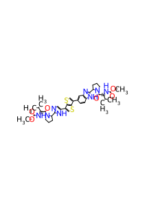 COC(=O)N[C@H](C(=O)N1CCCC1c1ncc(-c2csc3c(-c4ccc5[nH]c(C6CCCN6C(=O)[C@@H](NC(=O)OC)C(C)C)nc5c4)csc23)[nH]1)C(C)C